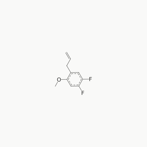 C=CCc1cc(F)c(F)cc1OC